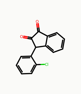 O=C1C(=O)C(c2ccccc2Cl)c2ccccc21